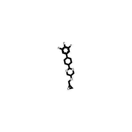 Fc1cc(C2CCC(C3OCC(OCC4CO4)CO3)CC2)cc(F)c1F